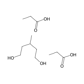 CC(CCO)CCO.CCC(=O)O.CCC(=O)O